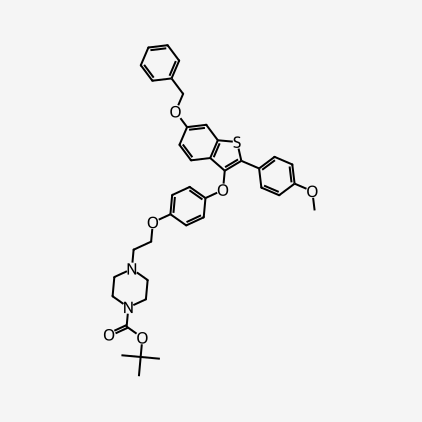 COc1ccc(-c2sc3cc(OCc4ccccc4)ccc3c2Oc2ccc(OCCN3CCN(C(=O)OC(C)(C)C)CC3)cc2)cc1